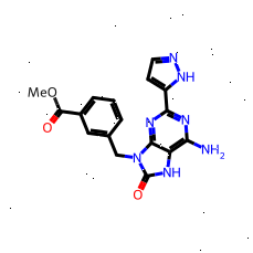 COC(=O)c1cccc(Cn2c(=O)[nH]c3c(N)nc(-c4ccn[nH]4)nc32)c1